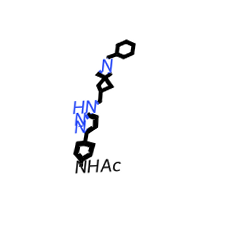 CC(=O)Nc1ccc(-c2ccc(NCC3CC4(C3)CN(CC3CCCCC3)C4)nn2)cc1